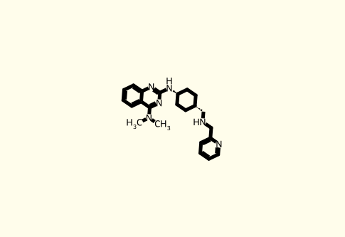 CN(C)c1nc(N[C@H]2CC[C@@H](CNCc3ccccn3)CC2)nc2ccccc12